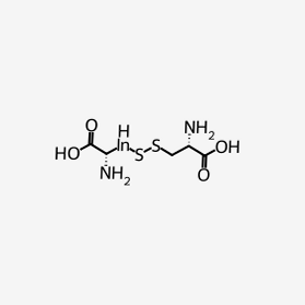 N[C@@H](CS[S][InH][C@H](N)C(=O)O)C(=O)O